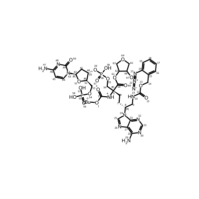 CC(C)(C)OC(=O)N[C@](CC[C@H](CNC(=O)OCc1ccccc1N=[N+]=[N-])n1cnc2c(N)ncnc21)(COP(=O)(O)O[C@H]1C[C@H](n2ccc(N)nc2=O)O[C@@H]1COP(=O)(O)O)C(=O)OC1COCC1O